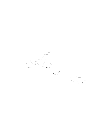 CC(C)(NC(=O)CCCCNc1ccccn1)C(=O)NC(CC(=O)O)c1ccc(-c2ccccc2)cc1